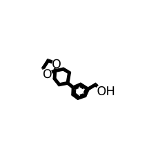 OCc1cccc(C2CCC3(CC2)OCCO3)c1